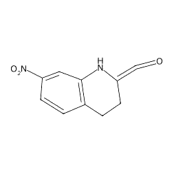 O=C=C1CCc2ccc([N+](=O)[O-])cc2N1